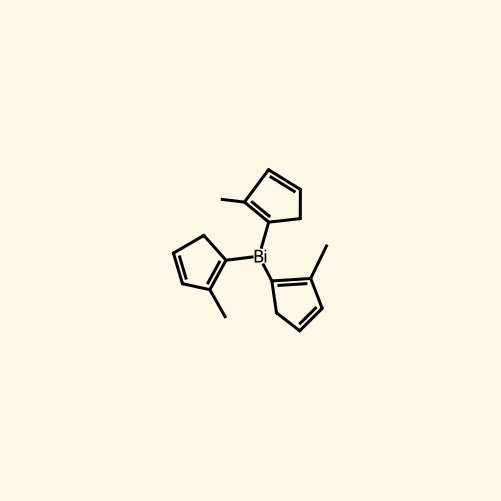 CC1=[C]([Bi]([C]2=C(C)C=CC2)[C]2=C(C)C=CC2)CC=C1